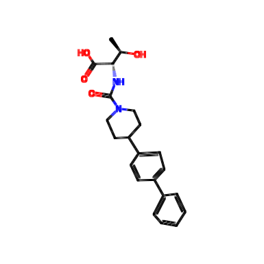 C[C@@H](O)[C@H](NC(=O)N1CCC(c2ccc(-c3ccccc3)cc2)CC1)C(=O)O